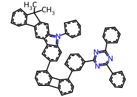 CC1(C)c2ccccc2-c2cc3c4cc(-c5cccc6c5-c5c(-c7cccc(-c8nc(-c9ccccc9)nc(-c9ccccc9)n8)c7)cccc5-6)ccc4n(-c4ccccc4)c3cc21